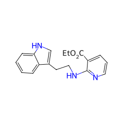 CCOC(=O)c1cccnc1NCCc1c[nH]c2ccccc12